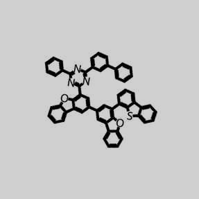 c1ccc(-c2cccc(-c3nc(-c4ccccc4)nc(-c4cc(-c5cc(-c6cccc7c6sc6ccccc67)c6oc7ccccc7c6c5)cc5c4oc4ccccc45)n3)c2)cc1